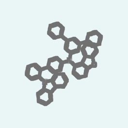 c1ccc(-c2cc(-c3ccccc3)cc(N(c3ccc(-c4ccccc4-n4c5ccccc5c5ccccc54)cc3)c3cccc4oc5ccccc5c34)c2)cc1